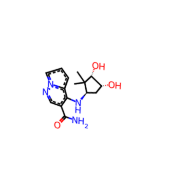 CC1(C)[C@H](O)[C@H](O)C[C@H]1Nc1c(C(N)=O)cnn2cccc12